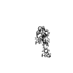 Cn1c(C(=O)O)c([C@]2(C(N)=O)CCCC[C@H]2C(=O)NC(C#N)Cc2ccc(CO)cc2)c2ccccc21